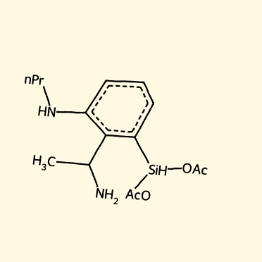 CCCNc1cccc([SiH](OC(C)=O)OC(C)=O)c1C(C)N